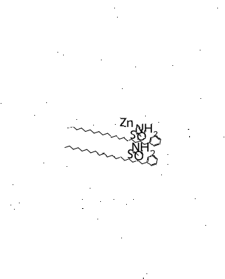 CCCCCCCCCCCCCCCCCC(Cc1ccccc1)OC(N)=S.CCCCCCCCCCCCCCCCCC(Cc1ccccc1)OC(N)=S.[Zn]